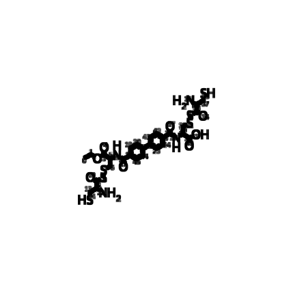 CCOC(=O)C(CSSC(=O)[C@@H](N)CS)NC(=O)c1ccc(-c2ccc(C(=O)NC(CSSC(=O)[C@@H](N)CS)C(=O)O)cc2)cc1